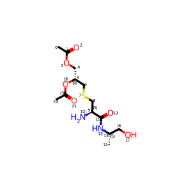 CC(=O)OC[C@H](CSC[C@H](N)C(=O)N[C@@H](C)CO)OC(C)=O